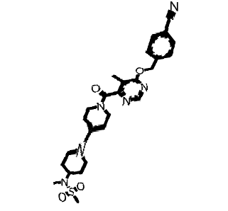 Cc1c(OCc2ccc(C#N)cc2)ncnc1C(=O)N1CCC(N2CCC(N(C)S(C)(=O)=O)CC2)CC1